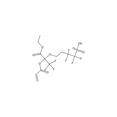 C=CC(=O)OC(OCCC(F)(F)C(F)(F)S(=O)(=O)O)(C(=O)OCC)C(F)(F)F